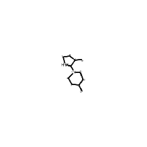 CC1CCN(C2NCCC2C)CC1